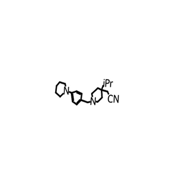 CC(C)C1(CC#N)CCN(Cc2ccc(N3CCCCC3)cc2)CC1